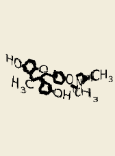 CC1=C(c2cccc(O)c2)C(c2ccc(OC[C@@H](C)N3CC[C@@H](C)C3)cc2)Oc2ccc(O)cc21